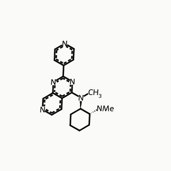 CN[C@@H]1CCCC[C@H]1N(C)c1nc(-c2ccncc2)nc2cnccc12